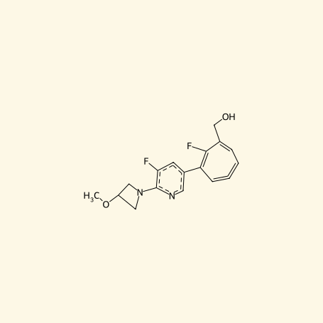 COC1CN(c2ncc(C3=C(F)C(CO)=CC=C=C3)cc2F)C1